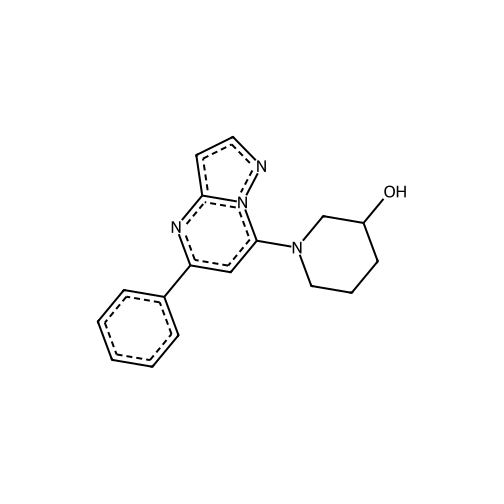 OC1CCCN(c2cc(-c3ccccc3)nc3ccnn23)C1